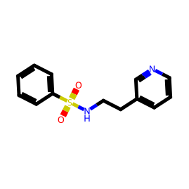 O=S(=O)(NCCc1cccnc1)c1ccccc1